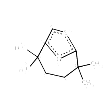 CC1(C)CCC(C)(C)c2nc1cs2